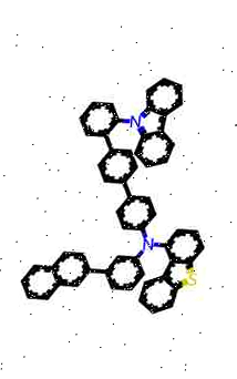 c1cc(-c2ccc3ccccc3c2)cc(N(c2ccc(-c3ccc(-c4ccccc4-n4c5ccccc5c5ccccc54)cc3)cc2)c2cccc3sc4ccccc4c23)c1